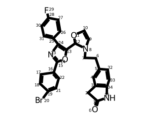 O=C1Cc2cc(CCN3C=COC3c3oc(-c4ccc(Br)cc4)nc3-c3ccc(F)cc3)ccc2N1